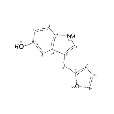 Oc1ccc2[nH]cc(Cc3ccco3)c2c1